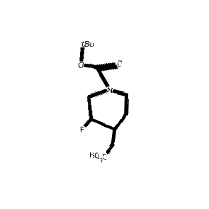 CC(C)(C)OC(=O)N1CCC(CC(=O)O)C(F)C1